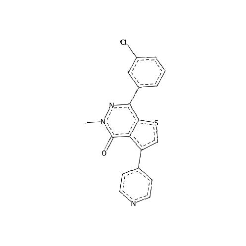 Cn1nc(-c2cccc(Cl)c2)c2scc(-c3ccncc3)c2c1=O